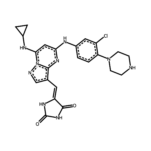 O=C1NC(=O)/C(=C/c2cnn3c(NC4CC4)cc(Nc4ccc(N5CCNCC5)c(Cl)c4)nc23)N1